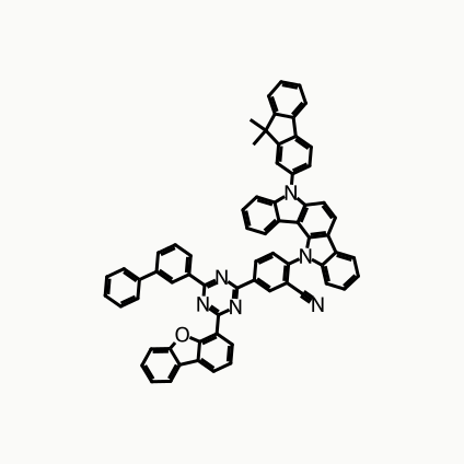 CC1(C)c2ccccc2-c2ccc(-n3c4ccccc4c4c3ccc3c5ccccc5n(-c5ccc(-c6nc(-c7cccc(-c8ccccc8)c7)nc(-c7cccc8c7oc7ccccc78)n6)cc5C#N)c34)cc21